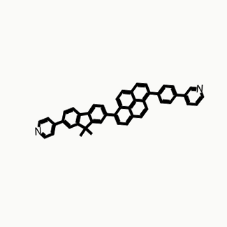 CC1(C)c2cc(-c3ccncc3)ccc2-c2ccc(-c3ccc4ccc5c(-c6ccc(-c7cccnc7)cc6)ccc6ccc3c4c65)cc21